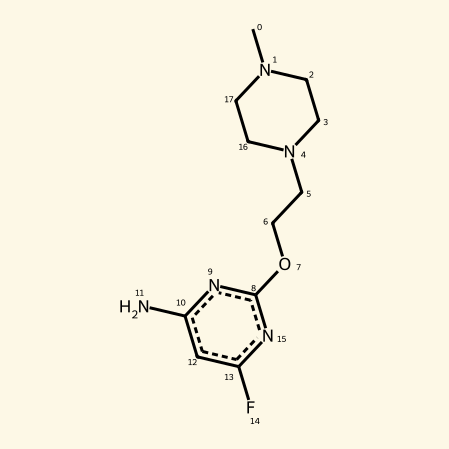 CN1CCN(CCOc2nc(N)cc(F)n2)CC1